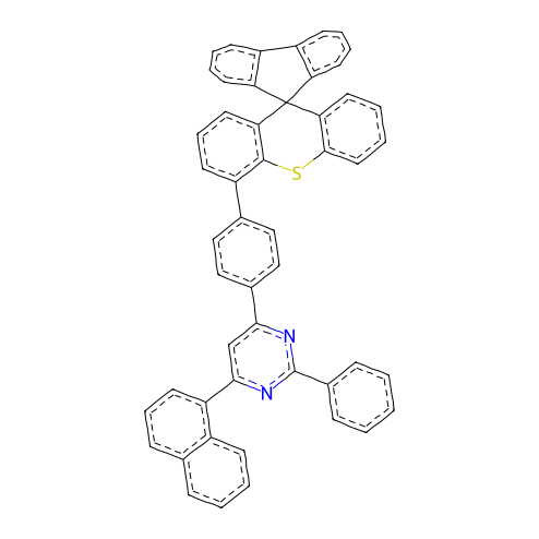 c1ccc(-c2nc(-c3ccc(-c4cccc5c4Sc4ccccc4C54c5ccccc5-c5ccccc54)cc3)cc(-c3cccc4ccccc34)n2)cc1